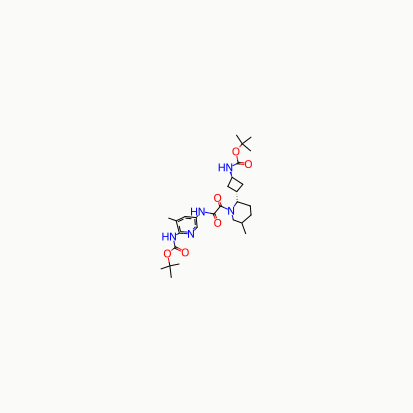 Cc1cc(NC(=O)C(=O)N2CC(C)CCC2[C@H]2C[C@H](NC(=O)OC(C)(C)C)C2)cnc1NC(=O)OC(C)(C)C